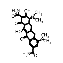 CN(C)c1cc(C(N)=O)cc2c1CC1CC3C(C(=O)C(C(N)=O)=C(O)C3N(C)C)C(O)=C1C2=O